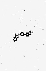 O=C1c2ncccc2CN1Cc1ccc(-c2ccc3cn(I)nc3c2)cc1F